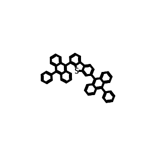 c1ccc(-c2c3ccccc3c(-c3ccc4c(c3)sc3c(-c5c6ccccc6c(-c6ccccc6)c6ccccc56)cccc34)c3ccccc23)cc1